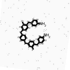 Cc1cc(Cc2ccc(Cc3ccc(Cc4ccc(N)cc4)c(C)c3)cc2)ccc1Cc1ccc(N)cc1